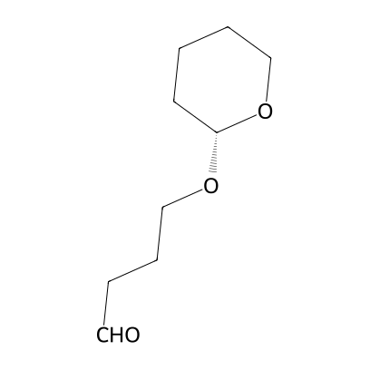 O=CCCCO[C@@H]1CCCCO1